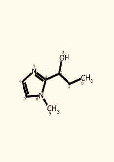 CCC(O)c1nccn1C